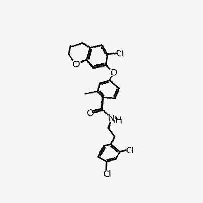 Cc1cc(Oc2cc3c(cc2Cl)CCCO3)ccc1C(=O)NCCc1ccc(Cl)cc1Cl